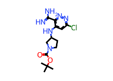 CC(C)(C)OC(=O)N1CCC(Nc2cc(Cl)nnc2C(=N)N)C1